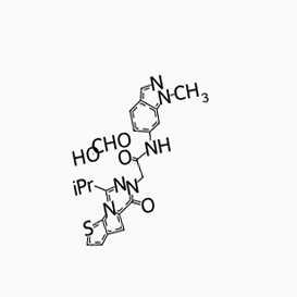 CC(C)c1nn(CC(=O)Nc2ccc3cnn(C)c3c2)c(=O)c2cc3ccsc3n12.O=CO